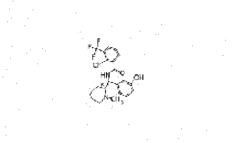 CN1CCCC[C@H]1C(NC(=O)c1cccc(C(F)(F)F)c1Cl)c1cccc(O)c1